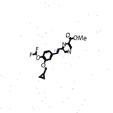 COC(=O)c1cncc(/C=C/c2ccc(OC(F)F)c(OCC3CC3)c2)n1